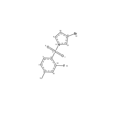 Cc1ccc(S(=O)(=O)n2ccc(Br)c2)c(F)c1